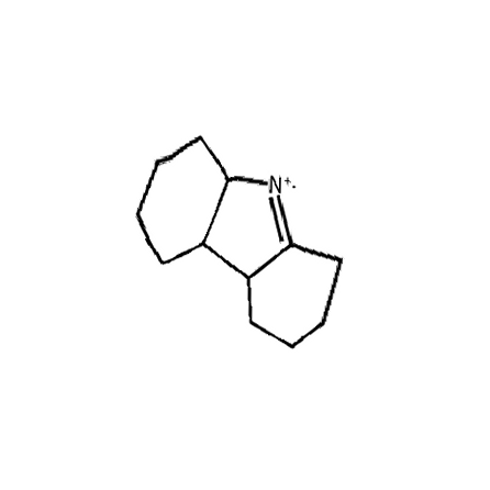 C1CCC2C(=[N+]C3CCCCC32)C1